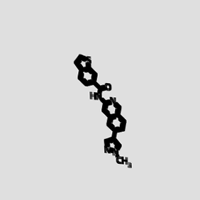 Cn1cc(-c2ccc3cnc(NC(=O)c4ccc5ccsc5c4)cc3c2)cn1